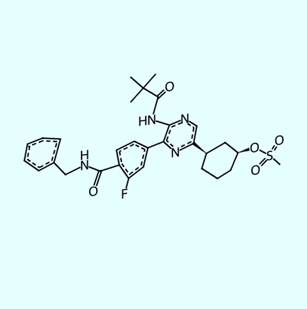 CC(C)(C)C(=O)Nc1ncc([C@@H]2CCC[C@H](OS(C)(=O)=O)C2)nc1-c1ccc(C(=O)NCc2ccccc2)c(F)c1